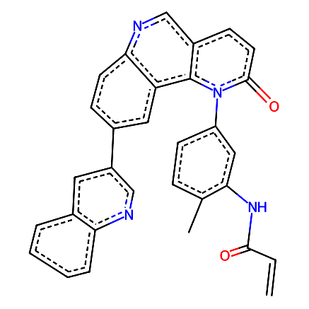 C=CC(=O)Nc1cc(-n2c(=O)ccc3cnc4ccc(-c5cnc6ccccc6c5)cc4c32)ccc1C